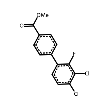 COC(=O)c1ccc(-c2ccc(Cl)c(Cl)c2F)cc1